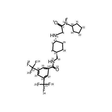 CN(C(=O)CN[C@H]1CC[C@H](CNC(=O)c2cc(C(F)(F)F)cc(C(F)(F)F)c2)CC1)C1CCCC1